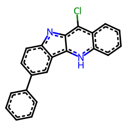 Clc1c2nc3ccc(-c4ccccc4)cc3c-2[nH]c2ccccc12